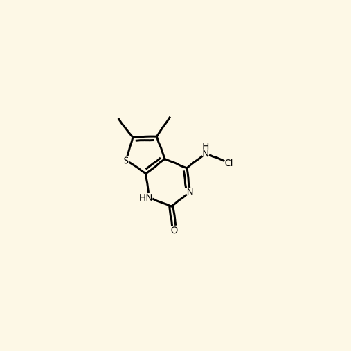 Cc1sc2[nH]c(=O)nc(NCl)c2c1C